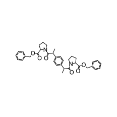 CC(C(=O)N1CCCC1C(=O)OCc1ccccc1)c1ccc(C(C)C(=O)N2CCCC2C(=O)OCc2ccccc2)cc1